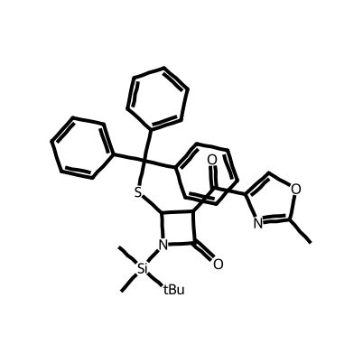 Cc1nc(C(=O)C2C(=O)N([Si](C)(C)C(C)(C)C)C2SC(c2ccccc2)(c2ccccc2)c2ccccc2)co1